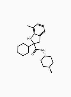 Cc1cccc2c1NC(C(=O)N[C@H]1CC[C@H](C)CC1)(C1CCCCC1)C2